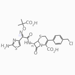 CC(C)(O/N=C(\C(=O)N[C@@H]1C(=O)N2C(C(=O)O)=C(c3ccc(CCl)cc3)CSC12)c1csc(N)n1)C(=O)O